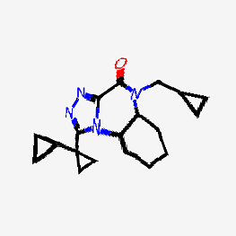 O=C1c2nnc(C3(C4CC4)CC3)n2C2CCCCC2N1CC1CC1